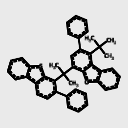 CC(C)(C)c1c(-c2ccccc2)cc(C(C)(C)c2c(-c3ccccc3)ccc3c2sc2ccccc23)c2oc3ccccc3c12